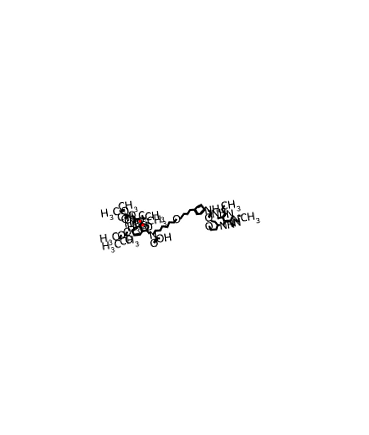 CCc1nc2c(cnn2CC)c(NC2CCOCC2)c1CNC(=O)Nc1ccc(CCCCOCCCCCCN(CC(O[Si](C)(C)C(C)(C)C)c2ccc(OC(=O)OC(C)(C)C)c3nc(OC(=O)OC(C)(C)C)ccc23)C(=O)O)cc1